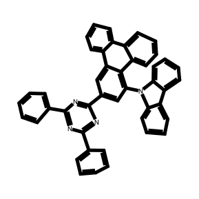 c1ccc(-c2nc(-c3ccccc3)nc(-c3cc(-n4c5ccccc5c5ccccc54)c4c5ccccc5c5ccccc5c4c3)n2)cc1